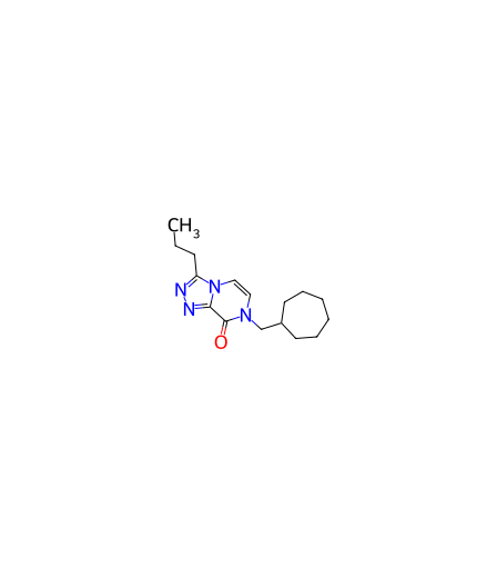 CCCc1nnc2c(=O)n(CC3CCCCCC3)ccn12